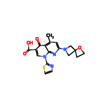 Cc1cc(N2CC3(CCO3)C2)nc2c1c(=O)c(C(=O)O)cn2-c1nccs1